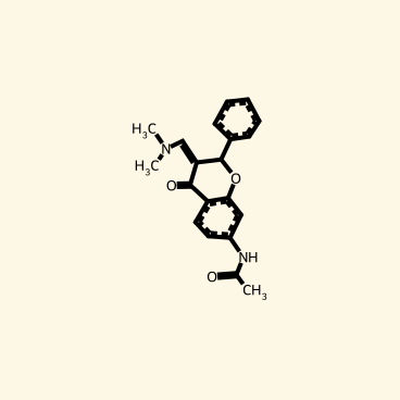 CC(=O)Nc1ccc2c(c1)OC(c1ccccc1)C(=CN(C)C)C2=O